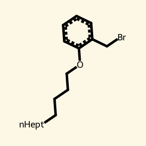 CCCCCCCCCCCOc1ccccc1CBr